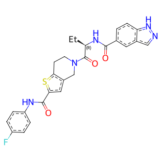 CC[C@@H](NC(=O)c1ccc2[nH]ncc2c1)C(=O)N1CCc2sc(C(=O)Nc3ccc(F)cc3)cc2C1